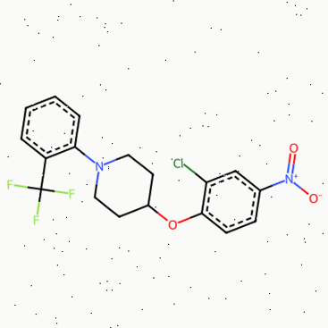 O=[N+]([O-])c1ccc(OC2CCN(c3ccccc3C(F)(F)F)CC2)c(Cl)c1